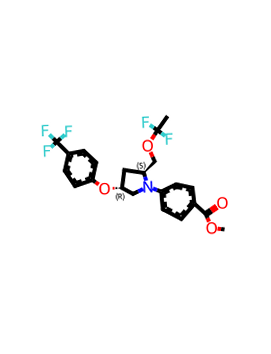 COC(=O)c1ccc(N2C[C@H](Oc3ccc(C(F)(F)F)cc3)C[C@H]2COC(C)(F)F)cc1